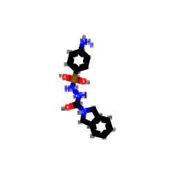 Nc1ccc(S(=O)(=O)NNC(=O)N2Cc3ccccc3C2)cc1